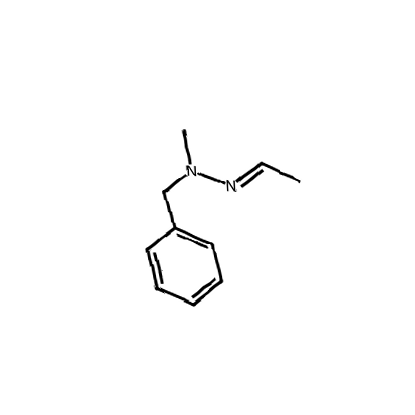 CC=NN(C)Cc1ccccc1